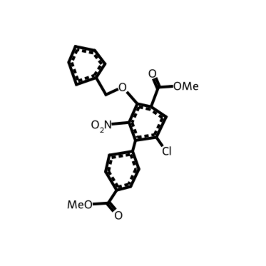 COC(=O)c1ccc(-c2c(Cl)cc(C(=O)OC)c(OCc3ccccc3)c2[N+](=O)[O-])cc1